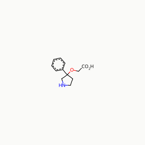 O=C(O)COC1(c2ccccc2)CCNC1